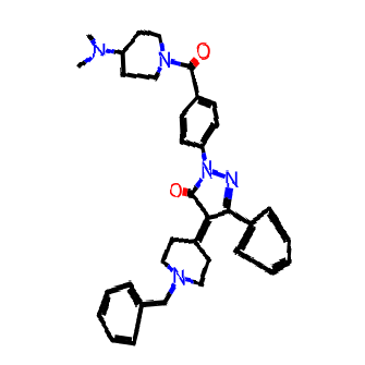 CN(C)C1CCN(C(=O)c2ccc(N3N=C(c4ccccc4)C(=C4CCN(Cc5ccccc5)CC4)C3=O)cc2)CC1